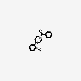 COc1ccccc1N1CCN(C(=O)c2ccccc2)CC1